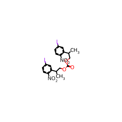 CC(COC(=O)OCC(C)c1cc(I)ccc1[N+](=O)[O-])c1cc(I)ccc1[N+](=O)[O-]